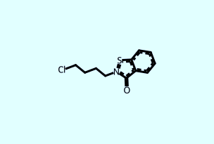 O=c1c2ccccc2sn1CCCCCl